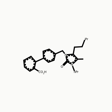 CCCn1c(C)c(CCC(C)C)n(Cc2ccc(-c3ccccc3C(=O)O)cc2)c1=O